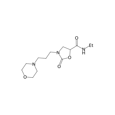 CCNC(=O)C1CN(CCCN2CCOCC2)C(=O)O1